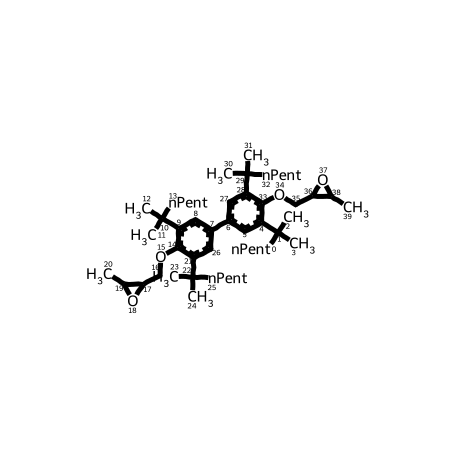 CCCCCC(C)(C)c1cc(-c2cc(C(C)(C)CCCCC)c(OCC3OC3C)c(C(C)(C)CCCCC)c2)cc(C(C)(C)CCCCC)c1OCC1OC1C